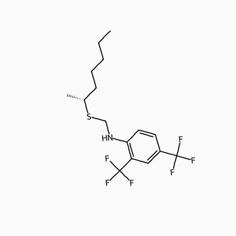 CCCCC[C@@H](C)SCNc1ccc(C(F)(F)F)cc1C(F)(F)F